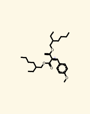 C=C(OCC(CC)CCCC)/C(=C/c1ccc(OC)cc1)C(=O)OCC(CC)CCCC